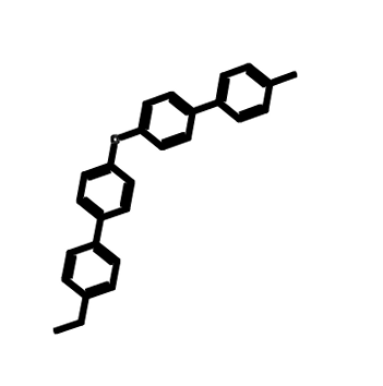 CCc1ccc(-c2ccc(Oc3ccc(-c4ccc(C)cc4)cc3)cc2)cc1